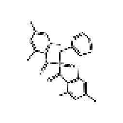 Cc1cc(C)c(C(=O)P(=O)(Cc2ccccc2)C(=O)c2c(C)cc(C)cc2C)c(C)c1